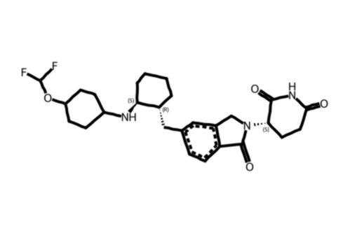 O=C1CC[C@H](N2Cc3cc(C[C@H]4CCCC[C@@H]4NC4CCC(OC(F)F)CC4)ccc3C2=O)C(=O)N1